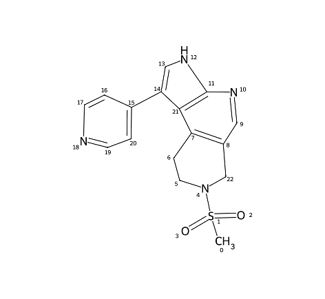 CS(=O)(=O)N1CCc2c(cnc3[nH]cc(-c4ccncc4)c23)C1